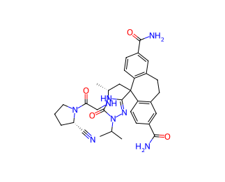 CC(C)n1nc(C2(C[C@@H](C)NCC(=O)N3CCC[C@H]3C#N)c3ccc(C(N)=O)cc3CCc3cc(C(N)=O)ccc32)[nH]c1=O